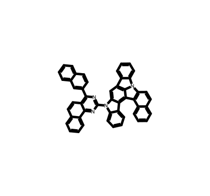 c1ccc2cc(-c3nc(-n4c5ccccc5c5c6c7c8ccccc8ccc7n7c8ccccc8c(cc54)c67)nc4c3ccc3ccccc34)ccc2c1